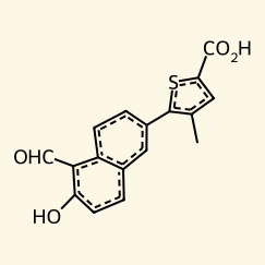 Cc1cc(C(=O)O)sc1-c1ccc2c(C=O)c(O)ccc2c1